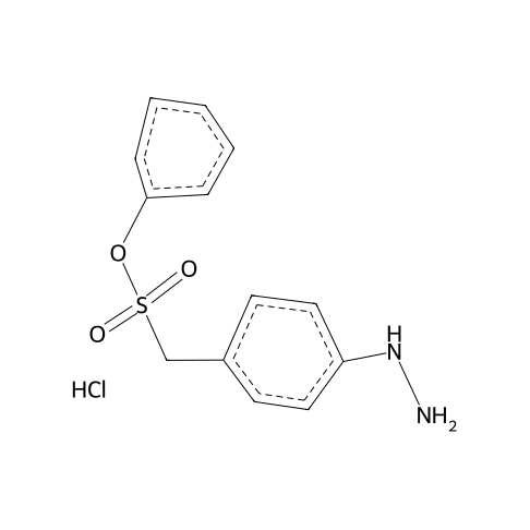 Cl.NNc1ccc(CS(=O)(=O)Oc2ccccc2)cc1